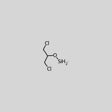 [SiH2]OC(CCl)CCl